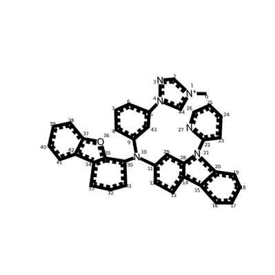 C[n+]1cnn(-c2cccc(N(c3ccc4c5ccccc5n(-c5ccccn5)c4c3)c3cccc4c3oc3ccccc34)c2)c1